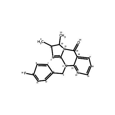 CC1N=C2N(Cc3ccc(F)cc3)c3ncccc3C(=O)N2C1C